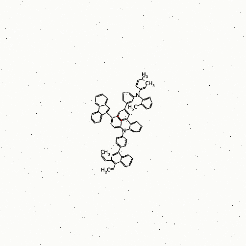 C=Cc1c(/C=C\C)cc(-c2ccc(N(c3ccc(-c4cc5ccccc5c5ccccc45)cc3)c3ccccc3-c3cccc(-c4cccc(N(C(/C=C\C)=C/C)c5ccccc5C)c4)c3)cc2)c2ccccc12